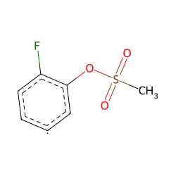 CS(=O)(=O)Oc1c[c]ccc1F